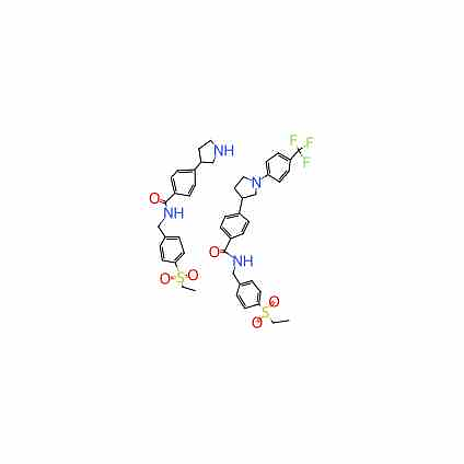 CCS(=O)(=O)c1ccc(CNC(=O)c2ccc(C3CCN(c4ccc(C(F)(F)F)cc4)C3)cc2)cc1.CCS(=O)(=O)c1ccc(CNC(=O)c2ccc(C3CCNC3)cc2)cc1